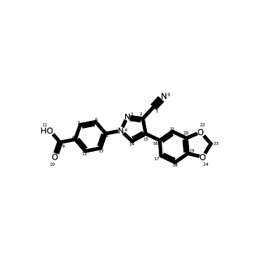 N#Cc1nn(-c2ccc(C(=O)O)cc2)cc1-c1ccc2c(c1)OCO2